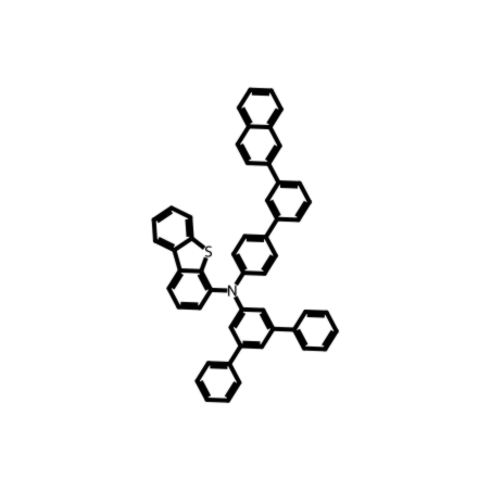 c1ccc(-c2cc(-c3ccccc3)cc(N(c3ccc(-c4cccc(-c5ccc6ccccc6c5)c4)cc3)c3cccc4c3sc3ccccc34)c2)cc1